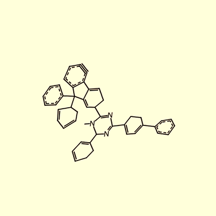 CN1C(C2C=C3C(=CC2)c2c#cccc2C3(c2ccccc2)C2C=CC=CC2)=NC(C2=CC=C(c3ccccc3)CC2)=NC1C1=CC=CCC1